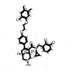 CC(=O)N1C[C@H]2CC(c3ccc(OCCOc4cc(C)c(C)cc4Cl)cc3)=C(C(=O)N(Cc3cccc(Cl)c3Cl)C3CC3)[C@@H](C1)N2